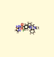 CCN(C)[C@H]1CCCC[C@@H]1N1CCCc2cc(S(=O)(=O)Nc3nccs3)c(F)cc21